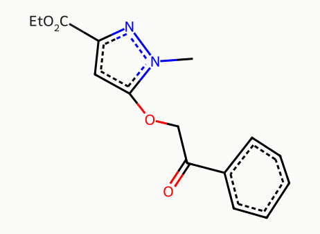 CCOC(=O)c1cc(OCC(=O)c2ccccc2)n(C)n1